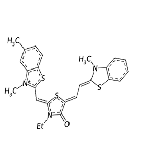 CCn1c(=O)/c(=C/C=C2\Sc3ccccc3N2C)s/c1=C\c1sc2ccc(C)cc2[n+]1C